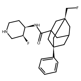 O=C(N[C@@H]1CCNC[C@@H]1F)C12CC3C[C@@](CF)(C1)C[C@](c1ccccc1)(C3)C2